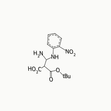 CC(C)(C)OC(=O)C(C(=O)O)C(N)Nc1ccccc1[N+](=O)[O-]